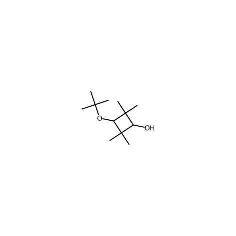 CC(C)(C)OC1C(C)(C)C(O)C1(C)C